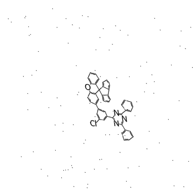 Clc1cc(-c2ccc3c(c2)C2(c4ccccc4O3)c3ccccc3-c3ccccc32)cc(-c2nc(-c3ccccc3)nc(-c3ccccc3)n2)c1